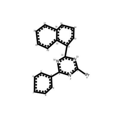 CC(C)c1nc(-c2ccccc2)nc(-c2cccc3ccccc23)n1